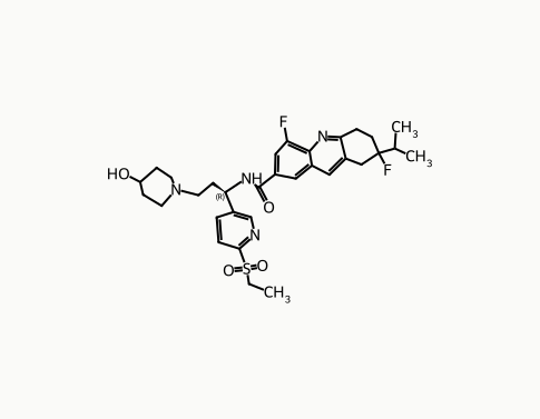 CCS(=O)(=O)c1ccc([C@@H](CCN2CCC(O)CC2)NC(=O)c2cc(F)c3nc4c(cc3c2)CC(F)(C(C)C)CC4)cn1